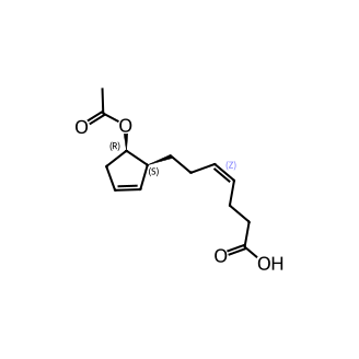 CC(=O)O[C@@H]1CC=C[C@@H]1CC/C=C\CCC(=O)O